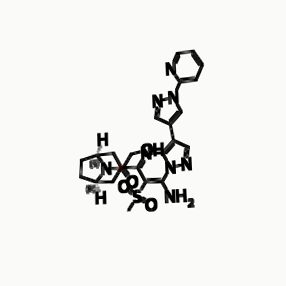 CS(=O)(=O)c1c(C2C[C@H]3CC[C@@H](C2)N3C(=O)CO)nc2c(-c3cnn(-c4ccccn4)c3)cnn2c1N